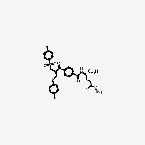 Cc1ccc(SCC(CS(=O)(=O)c2ccc(C)cc2)C(=O)c2ccc(C(=O)N[C@@H](CCC(=O)OC(C)(C)C)C(=O)O)cc2)cc1